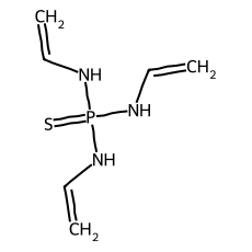 C=CNP(=S)(NC=C)NC=C